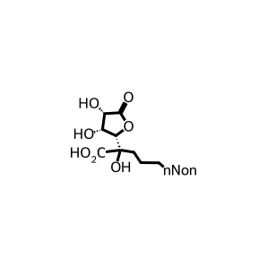 CCCCCCCCCCCCC(O)(C(=O)O)[C@H]1OC(=O)[C@@H](O)[C@H]1O